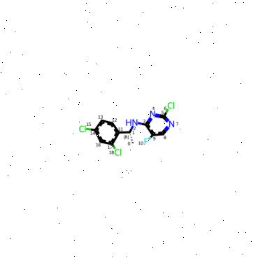 C[C@@H](Nc1nc(Cl)ncc1F)c1ccc(Cl)cc1Cl